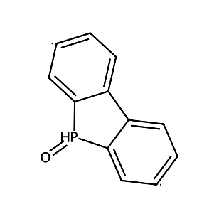 O=[PH]1c2c[c]ccc2-c2cc[c]cc21